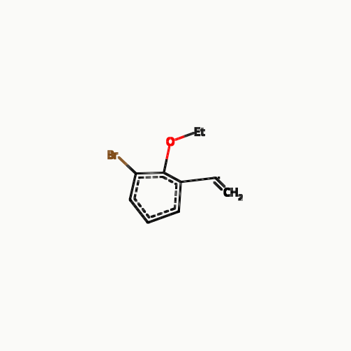 C=[C]c1cccc(Br)c1OCC